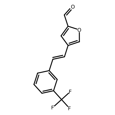 O=Cc1cc(C=Cc2cccc(C(F)(F)F)c2)co1